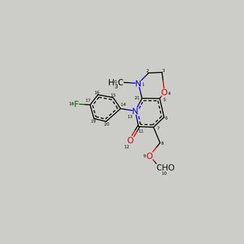 CN1CCOc2cc(COC=O)c(=O)n(-c3ccc(F)cc3)c21